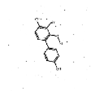 CCOc1c(-c2ccc(O)cc2)ccc(O)c1C(C)C